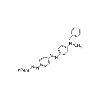 CCCCCN=Nc1ccc(N=Nc2ccc(N(C)Cc3ccccc3)cc2)cc1